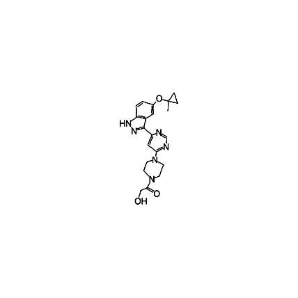 CC1(Oc2ccc3[nH]nc(-c4cc(N5CCN(C(=O)CO)CC5)ncn4)c3c2)CC1